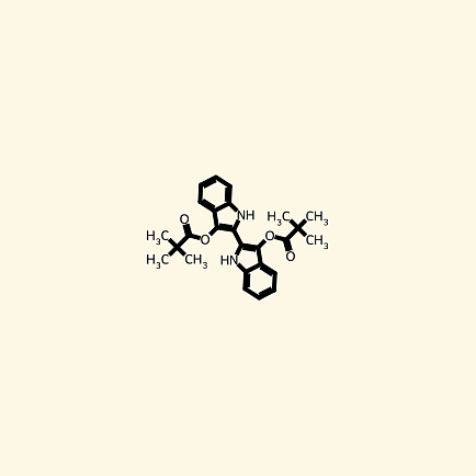 CC(C)(C)C(=O)Oc1c(-c2[nH]c3ccccc3c2OC(=O)C(C)(C)C)[nH]c2ccccc12